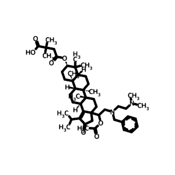 CC(=O)OC(CN(CCN(C)C)Cc1ccccc1)C12CC[C@]3(C)[C@H](CC[C@@H]4[C@@]5(C)CC[C@H](OC(=O)CC(C)(C)C(=O)O)C(C)(C)[C@@H]5CC[C@]43C)C1=C(C(C)C)C(=O)C2